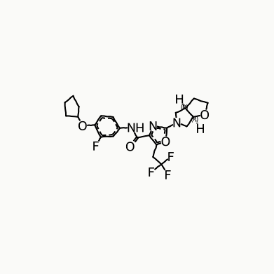 O=C(Nc1ccc(OC2CCCC2)c(F)c1)c1nc(N2C[C@H]3CCO[C@H]3C2)oc1CC(F)(F)F